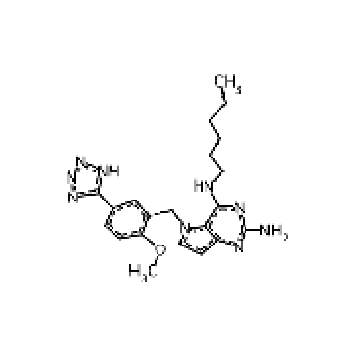 CCCCCCNc1nc(N)nc2ccn(Cc3cc(-c4nnn[nH]4)ccc3OC)c12